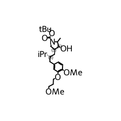 COCCCOc1cc(C[C@@H](C[C@H]2CN(C(=O)OC(C)(C)C)C(C)[C@H]2O)C(C)C)ccc1OC